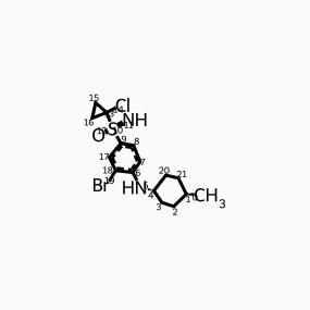 C[C@H]1CC[C@H](Nc2ccc(S(=N)(=O)C3(Cl)CC3)cc2Br)CC1